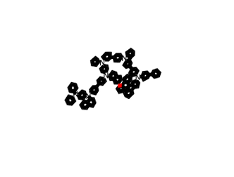 c1ccc(-c2ccc(N(c3ccc(-c4ccc5c(c4)c4ccccc4n5-c4ccc(-c5cccc(N(c6ccccc6)c6ccc(N(c7ccc(-c8ccc(N(c9ccc(N(c%10ccccc%10)c%10ccccc%10)cc9)c9cccc%10ccccc9%10)cc8)cc7)c7ccc8ccccc8c7)cc6)c5)cc4)cc3)c3ccc4c(c3)C3(c5ccccc5-c5ccccc53)c3ccccc3-4)cc2)cc1